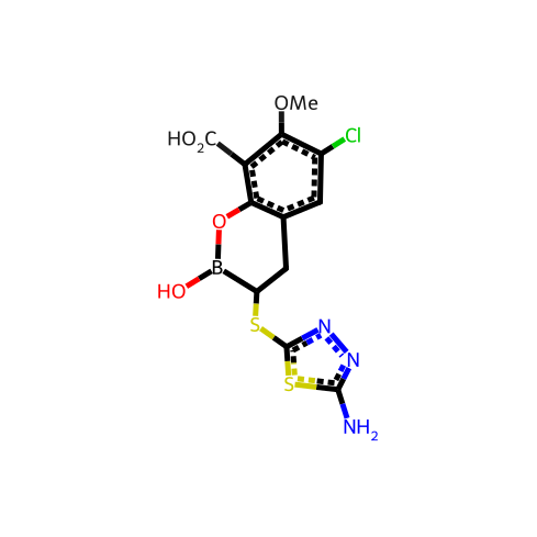 COc1c(Cl)cc2c(c1C(=O)O)OB(O)C(Sc1nnc(N)s1)C2